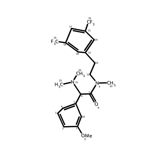 COc1cccc(C(C(=O)N(C)CCc2cc(C(F)(F)F)cc(C(F)(F)F)c2)N(C)C)c1